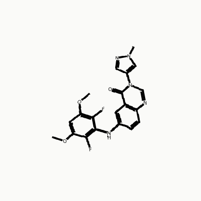 COc1cc(OC)c(F)c(Nc2ccc3ncn(-c4cnn(C)c4)c(=O)c3c2)c1F